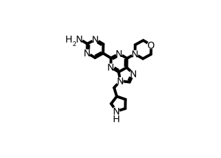 Nc1ncc(-c2nc(N3CCOCC3)c3ncn(CC4CCNC4)c3n2)cn1